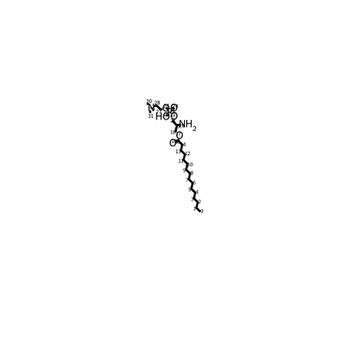 CCCCCCCCCCCCCCCC(=O)OCC(N)COP(=O)(O)OCCN(C)C